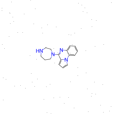 c1ccc2c(c1)nc(N1CCCNCC1)c1cccn12